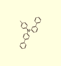 Cc1ccc(N(c2ccc(-c3ccccc3)cc2)c2cccc(-c3ccccc3)c2)cc1